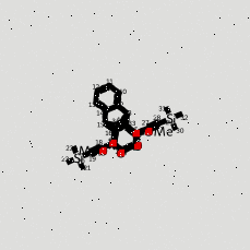 COC(=O)C1=C(C(=O)OC)C2c3ccccc3C1c1c(C#C[Si](C)(C)C)ccc(C#C[Si](C)(C)C)c12